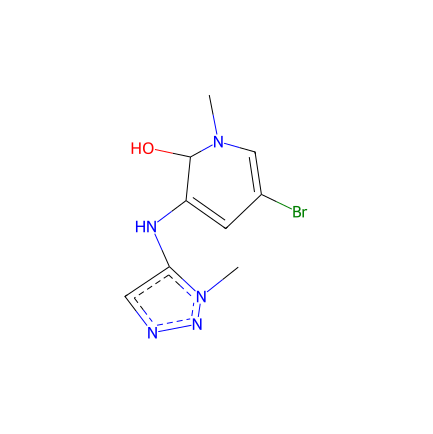 CN1C=C(Br)C=C(Nc2cnnn2C)C1O